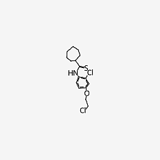 S=C(Nc1ccc(OCCCl)cc1Cl)C1CCCCCC1